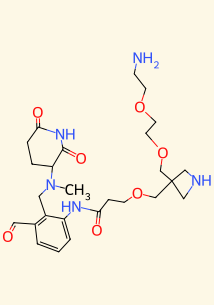 CN(Cc1c(C=O)cccc1NC(=O)CCOCC1(COCCOCCN)CNC1)C1CCC(=O)NC1=O